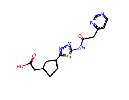 O=C(O)C[C@@H]1CCC(c2nnc(NC(=O)Cc3ccncn3)s2)C1